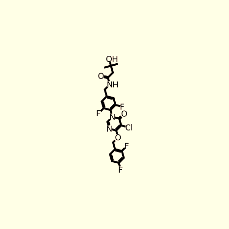 CC(C)(O)CC(=O)NCc1cc(F)c(-n2cnc(OCc3ccc(F)cc3F)c(Cl)c2=O)c(F)c1